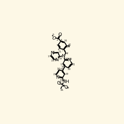 COC(=O)c1ccc(CN(c2cnccn2)c2cc(-c3ccnc(NS(C)(=O)=O)c3)ccn2)c(F)c1